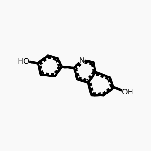 Oc1ccc(-c2cc3ccc(O)cc3cn2)cc1